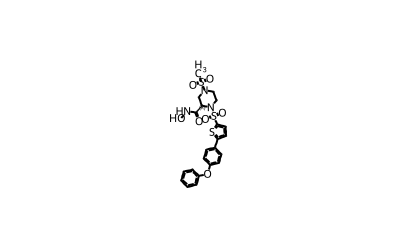 CS(=O)(=O)N1CCN(S(=O)(=O)c2ccc(-c3ccc(Oc4ccccc4)cc3)s2)[C@@H](C(=O)NO)C1